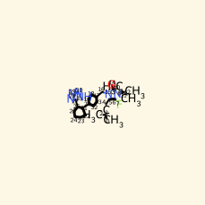 CC(C)CCc1c(F)n(C(C)(C)C)c(=O)n1Cc1ccc(-c2ccccc2-c2nnn[nH]2)cc1